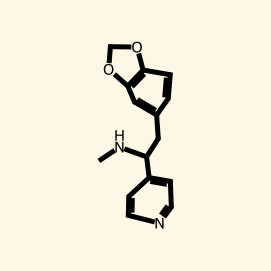 CNC(Cc1ccc2c(c1)OCO2)c1ccncc1